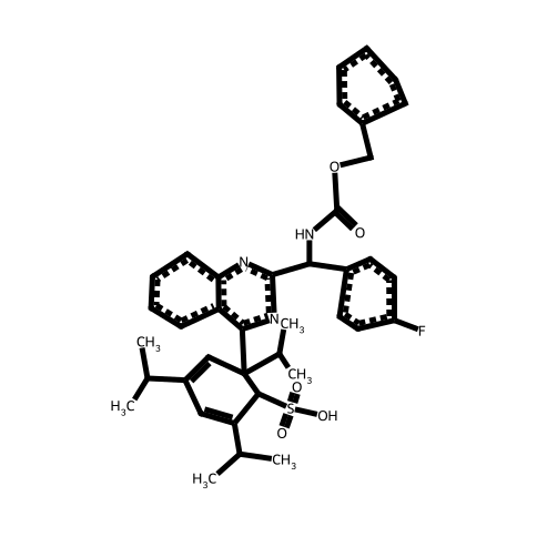 CC(C)C1=CC(c2nc(C(NC(=O)OCc3ccccc3)c3ccc(F)cc3)nc3ccccc23)(C(C)C)C(S(=O)(=O)O)C(C(C)C)=C1